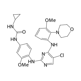 COc1cc(NC(=O)NC2CC2)ccc1Nc1ncc(Cl)c(Nc2cccc(OC)c2N2CCOCC2)n1